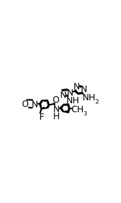 Cc1ccc(NC(=O)c2ccc(N3CCOCC3)c(CF)c2)cc1Nc1nccn1-c1cc(N)ncn1